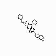 c1ccc(C[C@@H]2CCN(Cc3ccccc3)C[C@@H]2Nc2nnc(-c3ccc4cnccc4c3)s2)cc1